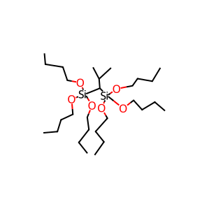 CCCCO[Si](OCCCC)(OCCCC)C(C(C)C)[Si](OCCCC)(OCCCC)OCCCC